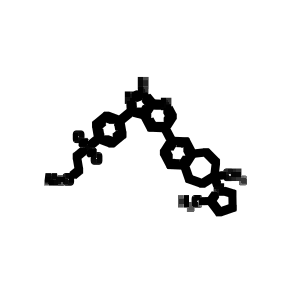 COCCS(=O)(=O)c1ccc(-c2n[nH]c3ncc(-c4ccc5c(c4)CCC(C)(N4CCCC4C)CC5)cc23)cc1